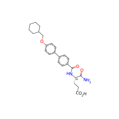 NC(=O)[C@H](CCC(=O)O)NC(=O)c1ccc(-c2ccc(OCC3CCCCC3)cc2)cc1